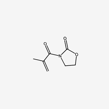 C=C(C)C(=O)N1CCOC1=O